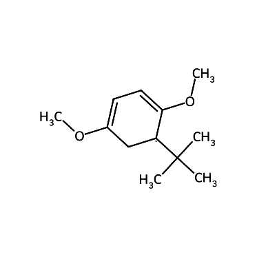 COC1=CC=C(OC)[C](C(C)(C)C)C1